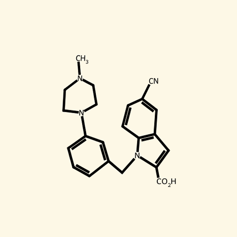 CN1CCN(c2cccc(Cn3c(C(=O)O)cc4cc(C#N)ccc43)c2)CC1